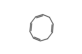 C1=C\C=C/C/C=C\C\C=C/1